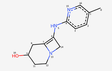 Cc1ccc(NC2=C3CC(O)CCN3C2)nc1